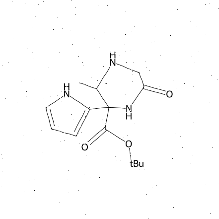 CC1NCC(=O)NC1(C(=O)OC(C)(C)C)c1ccc[nH]1